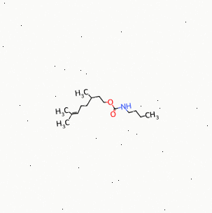 CCCCNC(=O)OCCC(C)CCC=C(C)C